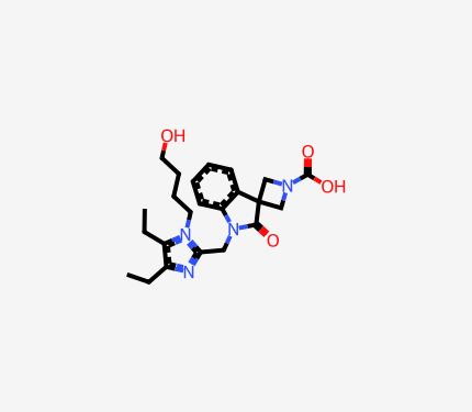 CCc1nc(CN2C(=O)C3(CN(C(=O)O)C3)c3ccccc32)n(CCCCO)c1CC